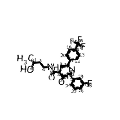 CC(O)CCNC(=O)c1cc(-c2ccc(C(F)(F)F)cc2)nn(-c2cccc(F)c2)c1=O